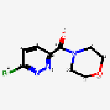 O=C(c1ccc(Br)nn1)N1CCOCC1